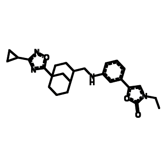 CCn1cc(-c2cccc(NCC3CCC4(c5nc(C6CC6)no5)CCCC3C4)c2)oc1=O